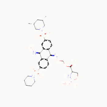 C[C@@H]1C[C@H](C)CN(S(=O)(=O)c2ccc3c(c2)C(=NO)c2cc(S(=O)(=O)N4C[C@H](C)C[C@H](C)C4)ccc2C3=NOCOC(=O)C2COP(=O)(O)N2)C1